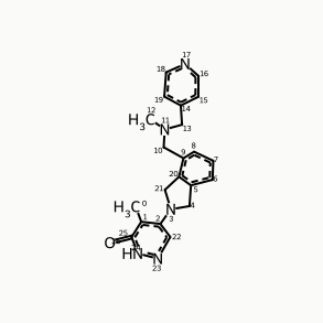 Cc1c(N2Cc3cccc(CN(C)Cc4ccncc4)c3C2)cn[nH]c1=O